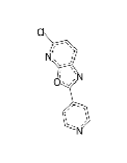 Clc1ccc2nc(-c3ccncc3)oc2n1